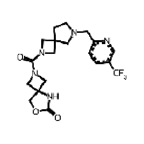 O=C1NC2(CO1)CN(C(=O)N1CC3(CCN(Cc4ccc(C(F)(F)F)cn4)C3)C1)C2